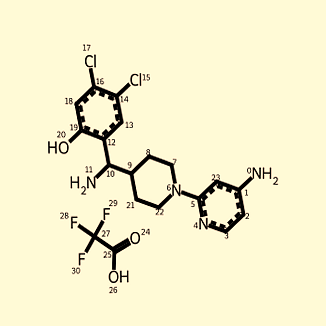 Nc1ccnc(N2CCC(C(N)c3cc(Cl)c(Cl)cc3O)CC2)c1.O=C(O)C(F)(F)F